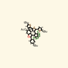 CC(=O)Oc1cc2oc(-c3ccc(C(C)(C)C)cc3)c(C3=C(c4cc(-c5ccc(C(C)(C)C)s5)sc4-c4ccc(C(C)(C)C)s4)C(F)(F)C(F)(F)C3(F)F)c2cc1OC(C)=O